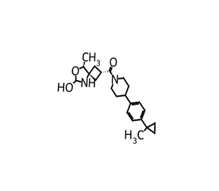 C[C@@H]1OC(O)N[C@]12C[C@@H](C(=O)N1CCC(c3ccc(C4(C)CC4)cc3)CC1)C2